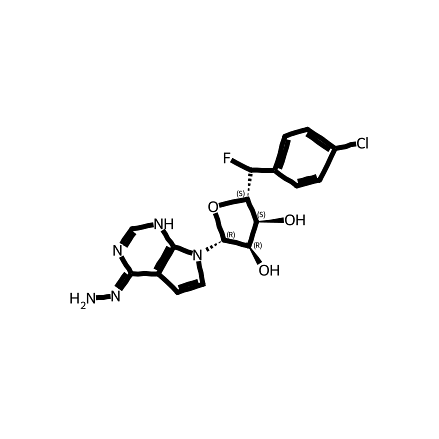 NN=c1nc[nH]c2c1ccn2[C@@H]1O[C@H](C(F)c2ccc(Cl)cc2)[C@@H](O)[C@H]1O